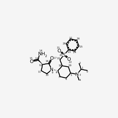 CC(C)N(C)C1CC[C@H](N2CC[C@@H](C(N)=O)C2=O)C(CS(=O)(=O)c2ccccc2)C1